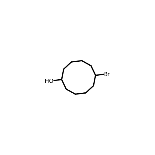 OC1CCCCC(Br)CCCC1